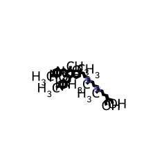 C/C(=C\CC/C(C)=C/CCC1(C)CCc2c(CN3CCN(C)CC3)c(O)c(CN3CCN(C)CC3)c(C)c2O1)CCC=C(CO)CO